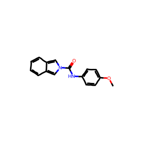 COc1ccc(NC(=O)n2cc3ccccc3c2)cc1